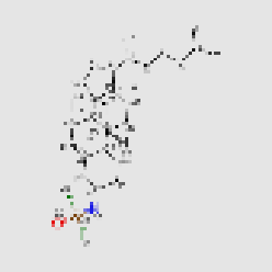 CC(C)CCC[C@@H](C)[C@H]1CC[C@H]2[C@@H]3CC=C4C[C@@H](N=S(=O)(F)F)CC[C@]4(C)[C@H]3CC[C@]12C